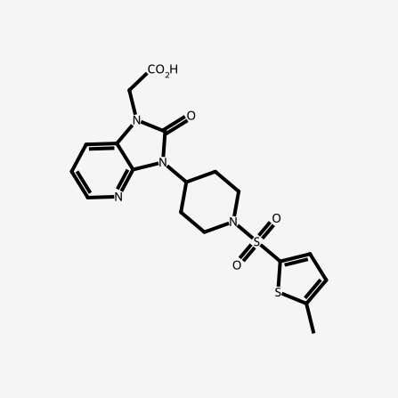 Cc1ccc(S(=O)(=O)N2CCC(n3c(=O)n(CC(=O)O)c4cccnc43)CC2)s1